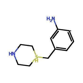 Nc1[c]ccc(C[SH]2CCNCC2)c1